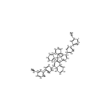 N#Cc1ccnc(-c2ccc(-c3ccc4c(c3)C3(c5ccccc5-c5ccccc53)c3cc(-c5ccc(-c6cc(C#N)ccn6)nc5)c5ccccc5c3-4)cn2)c1